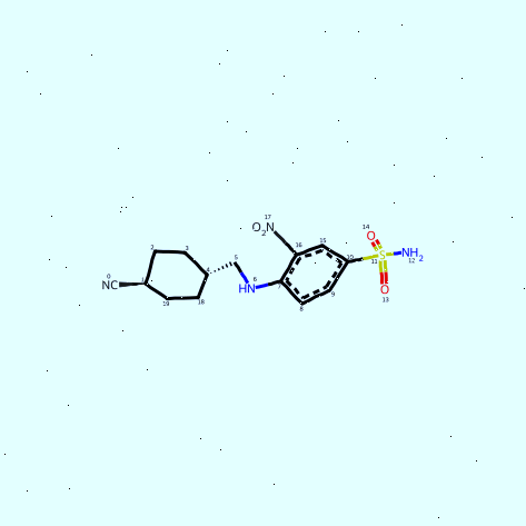 N#C[C@H]1CC[C@H](CNc2ccc(S(N)(=O)=O)cc2[N+](=O)[O-])CC1